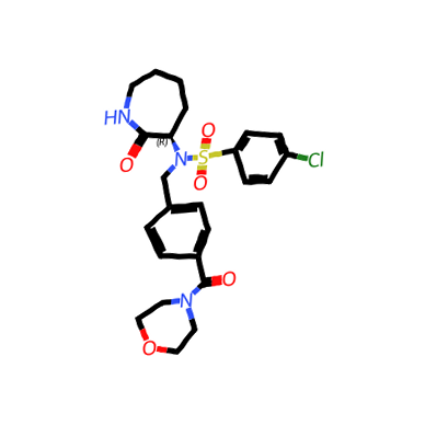 O=C1NCCCC[C@H]1N(Cc1ccc(C(=O)N2CCOCC2)cc1)S(=O)(=O)c1ccc(Cl)cc1